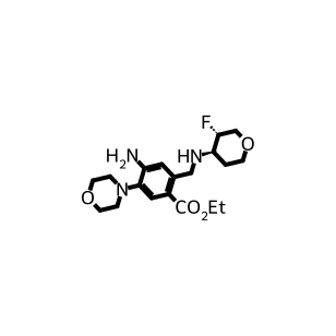 CCOC(=O)c1cc(N2CCOCC2)c(N)cc1CN[C@@H]1CCOC[C@H]1F